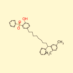 Cc1ccc(C)c(C(CCCCCCCCc2ccc(O)c(S(=O)(=O)c3ccccc3)c2)c2ccccc2)c1